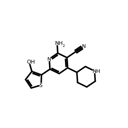 N#Cc1c(C2CCCNC2)cc(-c2sccc2O)nc1N